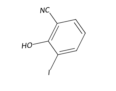 N#Cc1cccc(I)c1O